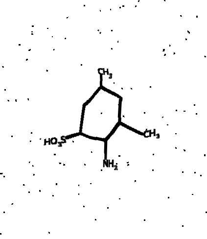 CC1CC(C)C(N)C(S(=O)(=O)O)C1